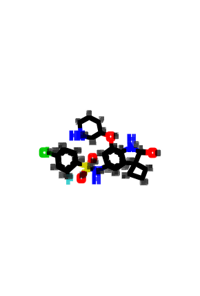 O=C1Nc2c(OC3CCCNC3)cc(NS(=O)(=O)c3ccc(Cl)cc3F)cc2C12CCC2